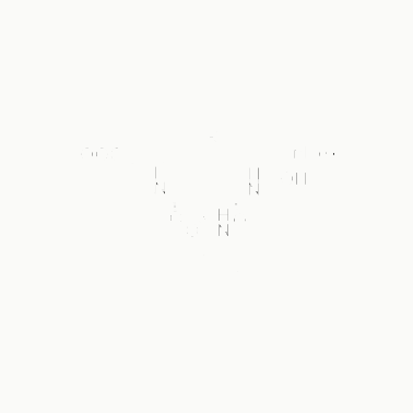 CC1CCCC(NC(=O)CC(CC(=O)NC2CCCC(C)C2)C(=O)NC2CCCC(C)C2)C1.CCCCCCC(O)CCCCCCCCCCC(=O)[O-].[K+]